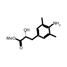 COC(=O)[C@H](O)Cc1cc(C)c(N)c(C)c1